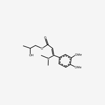 COc1ccc(C(=CC(=O)OCC(C)O)N(C)C)cc1OC